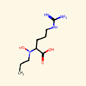 CCCN(O)C(CCCNC(=N)N)C(=O)O